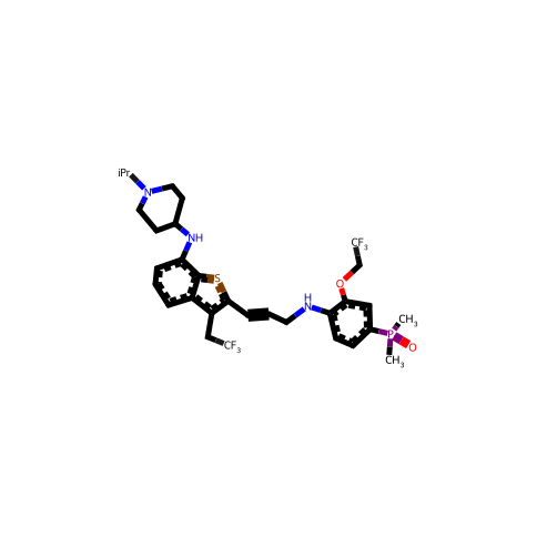 CC(C)N1CCC(Nc2cccc3c(CC(F)(F)F)c(C#CCNc4ccc(P(C)(C)=O)cc4OCC(F)(F)F)sc23)CC1